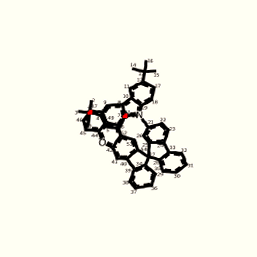 CC(C)(C)c1ccc2c(c1)c1cc(C(C)(C)C)ccc1n2-c1ccc2c(c1)C1(c3ccccc3-2)c2ccccc2-c2cc3oc4ccccc4c(=O)c3cc21